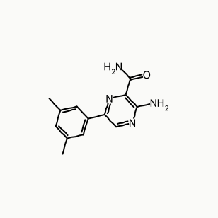 Cc1cc(C)cc(-c2cnc(N)c(C(N)=O)n2)c1